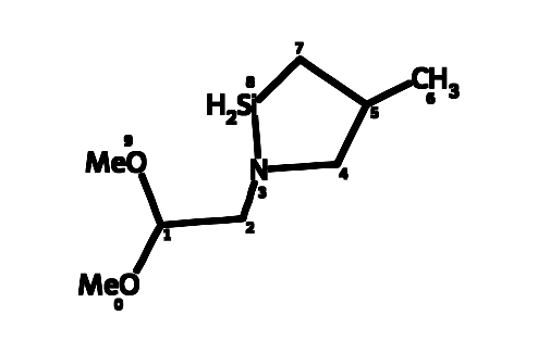 COC(CN1CC(C)C[SiH2]1)OC